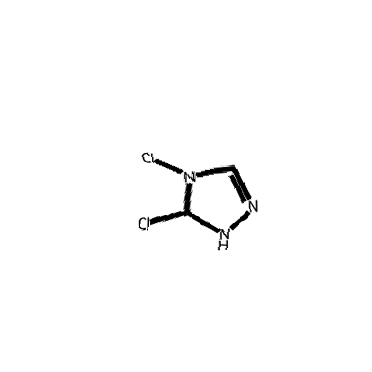 ClC1NN=CN1Cl